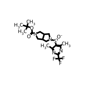 Cc1nc(C(F)(F)F)nc(C)c1[S+]([O-])N1CC2CN(C(=O)OC(C)(C)C)CC2C1